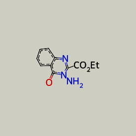 CCOC(=O)c1nc2ccccc2c(=O)n1N